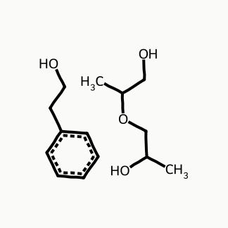 CC(O)COC(C)CO.OCCc1ccccc1